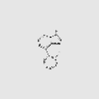 Fc1ccccc1-c1cccc2[nH]ccc12